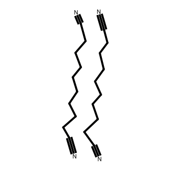 N#CCCCCCCCCC#N.N#CCCCCCCCCC#N